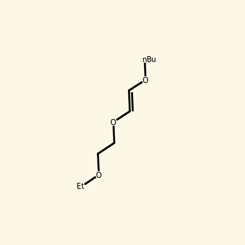 CCCCOC=COCCOCC